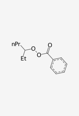 CCCC(CC)OOC(=O)c1ccccc1